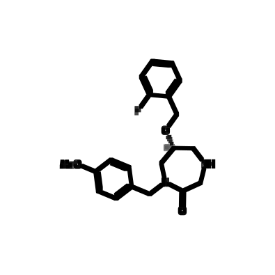 COc1ccc(CN2C[C@H](OCc3ccccc3F)CNCC2=O)cc1